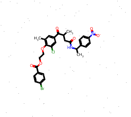 Cc1cc(C(=O)C(C)CC(=O)NC(C)c2ccc([N+](=O)[O-])cc2)cc(Cl)c1OCCOC(=O)c1ccc(Br)cc1